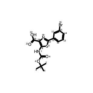 CC(C)(C)OC(=O)Nc1sc(-c2cccc(Br)c2)nc1C(=O)O